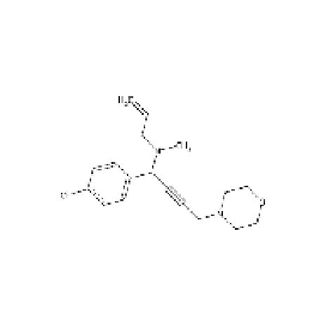 C=CCN(C)C(C#CCN1CCOCC1)c1ccc(Cl)cc1